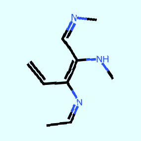 C=CC(/N=C\C)=C(\C=N/C)NC